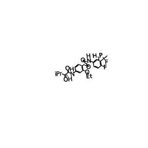 CCOc1cc(NC(=O)[C@@H](O)C(C)C)ccc1S(=O)(=O)Nc1ccc(F)c(C(C)(F)P)c1